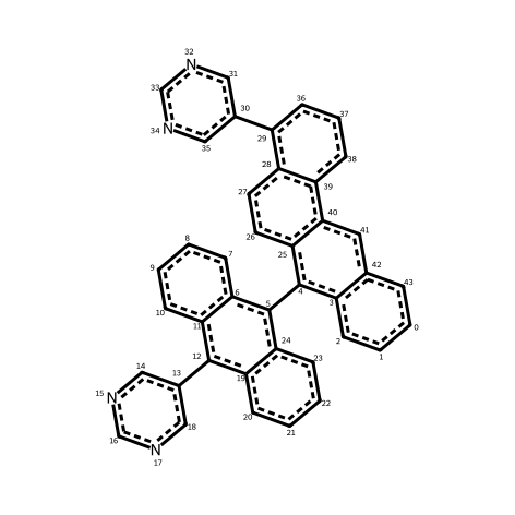 c1ccc2c(-c3c4ccccc4c(-c4cncnc4)c4ccccc34)c3ccc4c(-c5cncnc5)cccc4c3cc2c1